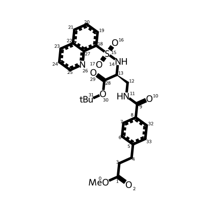 COC(=O)CCc1ccc(C(=O)NC[C@H](NS(=O)(=O)c2cccc3cccnc23)C(=O)OC(C)(C)C)cc1